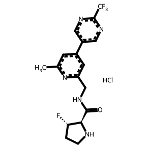 Cc1cc(-c2cnc(C(F)(F)F)nc2)cc(CNC(=O)[C@H]2NCC[C@@H]2F)n1.Cl